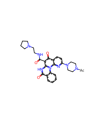 CC(=O)N1CCN(c2ccc3c(=O)c(C(=O)NCCN4CCCC4)c4[nH]c(=O)c5ccccc5n4c3n2)CC1